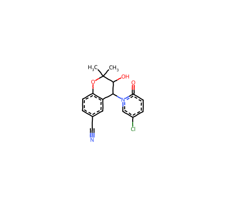 CC1(C)Oc2ccc(C#N)cc2C(n2cc(Cl)ccc2=O)C1O